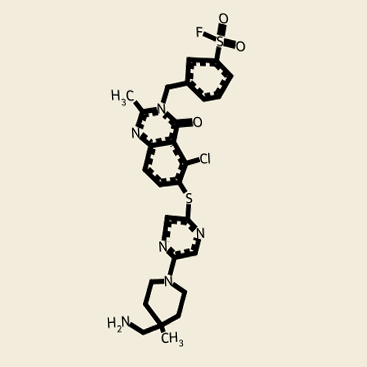 Cc1nc2ccc(Sc3cnc(N4CCC(C)(CN)CC4)cn3)c(Cl)c2c(=O)n1Cc1cccc(S(=O)(=O)F)c1